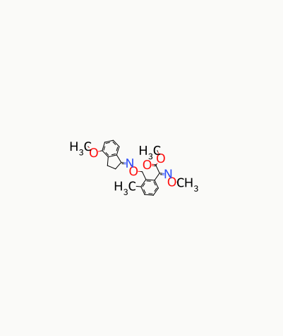 CO/N=C(/C(=O)OC)c1cccc(C)c1CO/N=C1\CCc2c(OC)cccc21